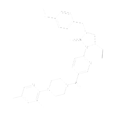 CCC1CN(Cc2ccc(OC)cc2)C(=O)N1c1ccc(C(=O)N2CCN(c3ncc(C)cc3C)CC2)cn1